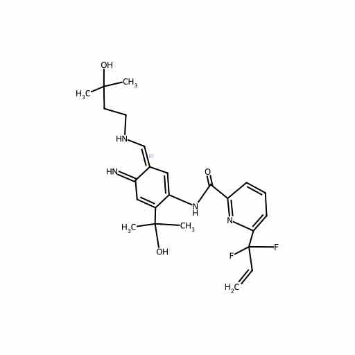 C=CC(F)(F)c1cccc(C(=O)NC2=C/C(=C/NCCC(C)(C)O)C(=N)C=C2C(C)(C)O)n1